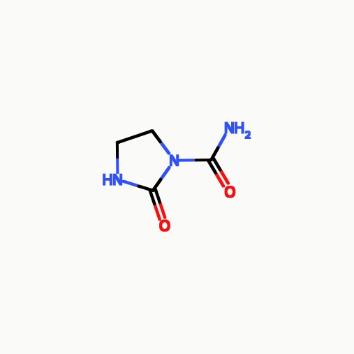 NC(=O)N1CCNC1=O